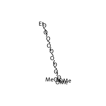 CCOCCOCCOCCOCCOCCOCCOCCOCCO[Si](OC)(OC)OC